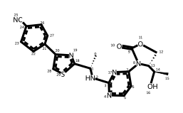 C[C@H](Nc1nccc(N2C(=O)OC[C@@H]2[C@@H](C)O)n1)c1nc(-c2ccc(C#N)cc2)cs1